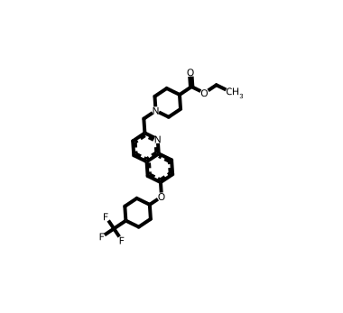 CCOC(=O)C1CCN(Cc2ccc3cc(OC4CCC(C(F)(F)F)CC4)ccc3n2)CC1